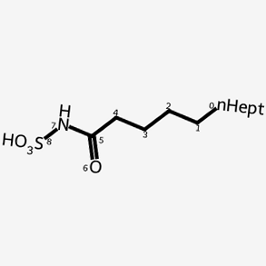 CCCCCCCCCCCC(=O)NS(=O)(=O)O